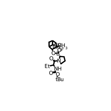 CCC(NC(=O)OC(C)(C)C)C(=O)N1CCCC1B1OC2C3CC(C[C@]2(C)O1)C3(C)C